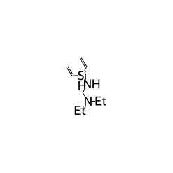 C=C[SiH](C=C)NCN(CC)CC